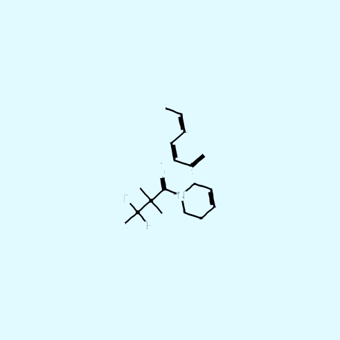 C=C(/C=C\C=C/C)[C@@H]1C=CCCN1C(=O)C(C)(C)C(C)(F)F